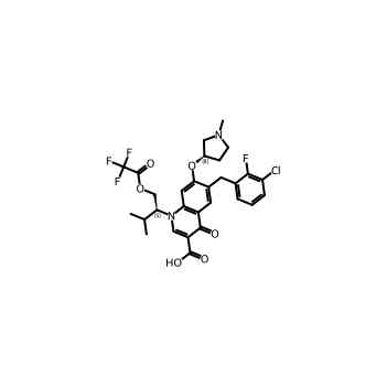 CC(C)[C@@H](COC(=O)C(F)(F)F)n1cc(C(=O)O)c(=O)c2cc(Cc3cccc(Cl)c3F)c(O[C@@H]3CCN(C)C3)cc21